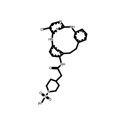 CC(C)S(=O)(=O)N1CCC(CC(=O)Nc2ccc3cc2CCc2cccc(c2)Nc2ncc(Cl)c(n2)N3)CC1